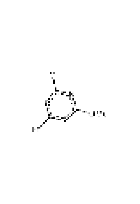 CCc1cc(Cl)nc(OC)c1